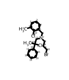 Cc1cccc(CN(CCCBr)CC(C)(C)c2ccccc2)c1Cl